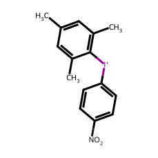 Cc1cc(C)c([I+]c2ccc([N+](=O)[O-])cc2)c(C)c1